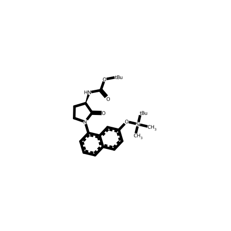 CC(C)(C)OC(=O)N[C@@H]1CCN(c2cccc3ccc(O[Si](C)(C)C(C)(C)C)cc23)C1=O